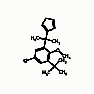 COc1c(C(C)(C)C)cc(Cl)cc1C(C)(C)C1=CCC=C1